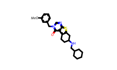 COc1cccc(Cn2cnc3sc4c(c3c2=O)CCC(NCC2CCCCC2)C4)c1